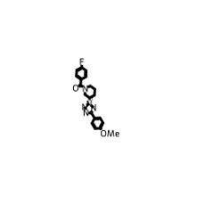 COc1ccc(-c2nnn([C@H]3CCCN(C(=O)c4ccc(F)cc4)C3)n2)cc1